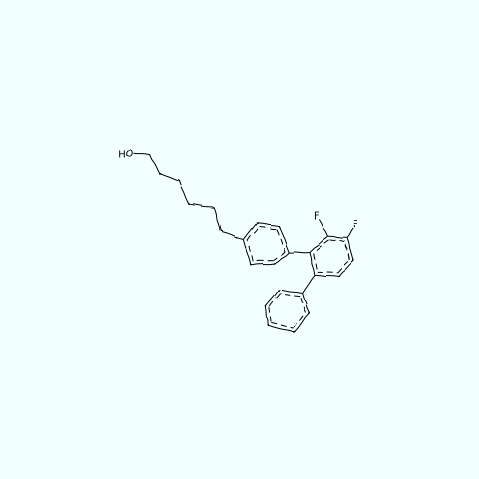 OCCCCCCc1ccc(-c2c(-c3ccccc3)ccc(F)c2F)cc1